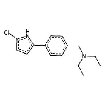 CCN(CC)Cc1ccc(-c2ccc(Cl)[nH]2)cc1